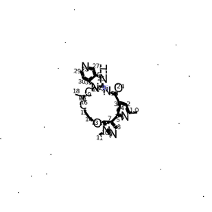 Cc1cc2cc(n1)-c1cnn(C)c1OCCC[C@@H](C)CN1/C(=N/C2=O)Nc2cnccc21